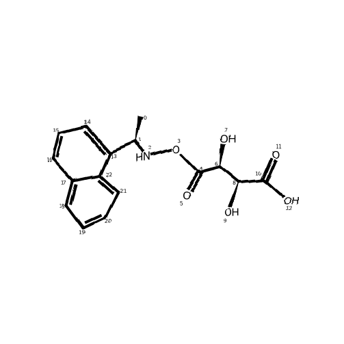 C[C@@H](NOC(=O)[C@@H](O)[C@H](O)C(=O)O)c1cccc2ccccc12